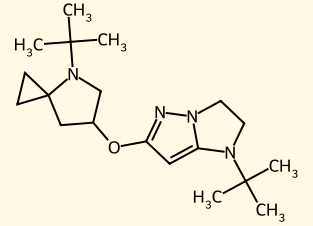 CC(C)(C)N1CCn2nc(OC3CN(C(C)(C)C)C4(CC4)C3)cc21